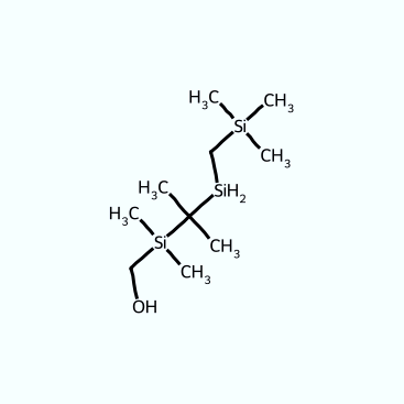 CC(C)([SiH2]C[Si](C)(C)C)[Si](C)(C)CO